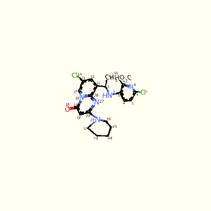 C[C@@H](Nc1ccc(Cl)nc1C(=O)O)c1cc(Cl)cn2c(=O)cc(N3CCCCC3)nc12